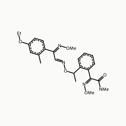 CCOc1ccc(C(C=NOC(C)c2ccccc2C(=NOC)C(=O)NC)=NOC)c(C)c1